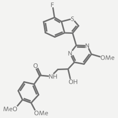 COc1cc(C(O)CNC(=O)c2ccc(OC)c(OC)c2)nc(-c2csc3c(F)cccc23)n1